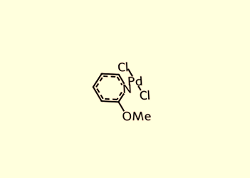 COc1ccccn1.[Cl][Pd][Cl]